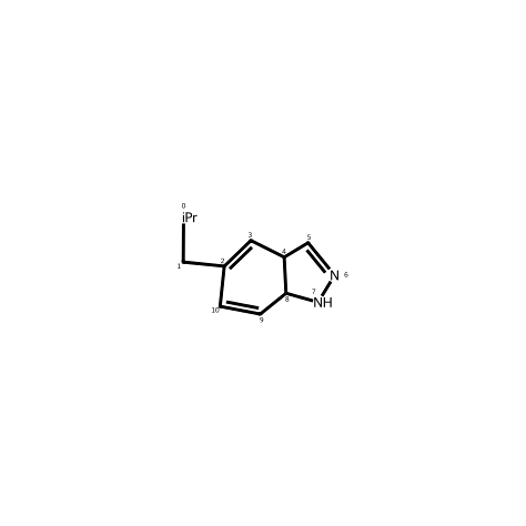 CC(C)CC1=CC2C=NNC2C=C1